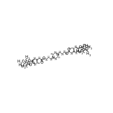 CC(C)(C)[Si](C)(C)Oc1ccc(CC(=O)OCCCN2CCN(CCCOC(=O)Cc3ccc(O[Si](C)(C)C(C)(C)C)cc3)CC2)cc1